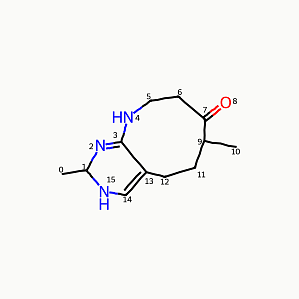 CC1N=C2NCCC(=O)C(C)CCC2=CN1